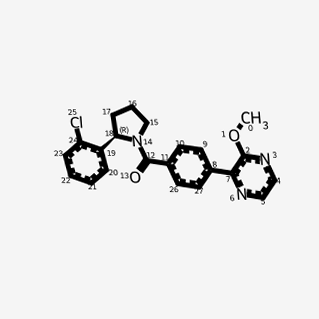 COc1nccnc1-c1ccc(C(=O)N2CCC[C@@H]2c2ccccc2Cl)cc1